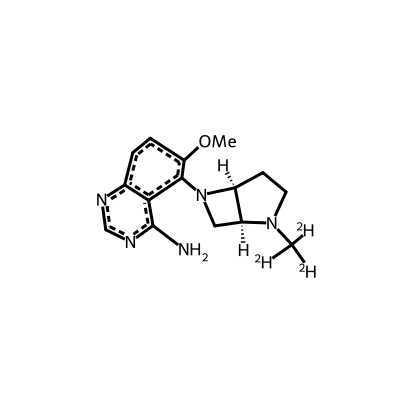 [2H]C([2H])([2H])N1CC[C@H]2[C@@H]1CN2c1c(OC)ccc2ncnc(N)c12